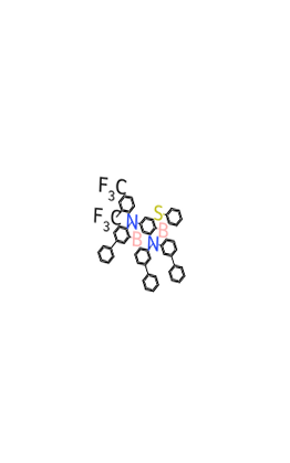 FC(F)(F)c1ccc(N2c3ccc(-c4ccccc4)cc3B3c4ccc(-c5ccccc5)cc4N4c5cc(-c6ccccc6)ccc5B5c6ccccc6Sc6cc2c3c4c65)c(C(F)(F)F)c1